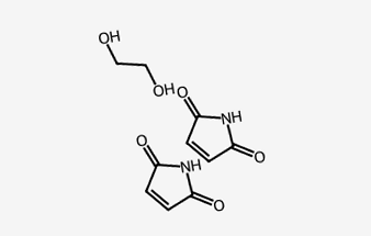 O=C1C=CC(=O)N1.O=C1C=CC(=O)N1.OCCO